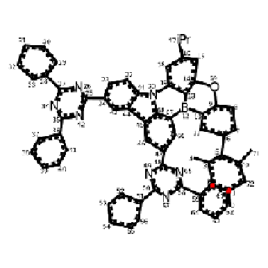 Cc1cc(C)c(-c2ccc3c(c2)B2c4c(cc(C(C)C)cc4-n4c5ccc(-c6nc(-c7ccccc7)nc(-c7ccccc7)n6)cc5c5cc(-c6nc(-c7ccccc7)nc(-c7ccccc7)n6)cc2c54)O3)c(C)c1